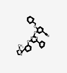 CN1CCN=C1c1cccc(Oc2cc(-c3ccccc3)nc(Oc3cc(C#N)ccc3OCc3ccccc3)n2)c1